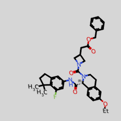 CCOc1ccc2c(c1)CCN(C(=O)N1CC(CC(=O)OCc3ccccc3)C1)[C@H]2C(=O)Nc1cc(F)c2c(c1)CCC2(C)C